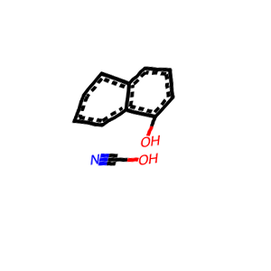 N#CO.Oc1cccc2ccccc12